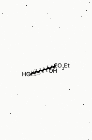 CCOC(=O)C=CC(O)CCCCCCCCCCO